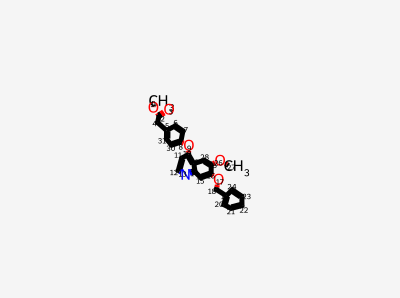 COC(=O)Cc1ccc(Oc2ccnc3cc(OCc4ccccc4)c(OC)cc23)cc1